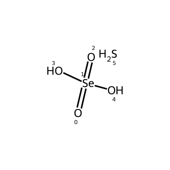 O=[Se](=O)(O)O.S